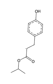 CC(C)OC(=O)[CH]Cc1ccc(O)cc1